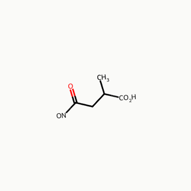 CC(CC(=O)N=O)C(=O)O